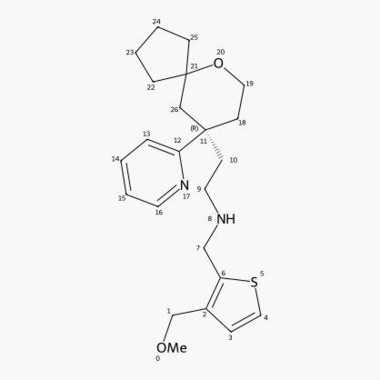 COCc1ccsc1CNCC[C@@]1(c2ccccn2)CCOC2(CCCC2)C1